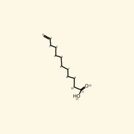 C=CCCCCCCCCCC(=O)O